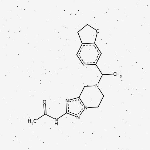 CC(=O)Nc1nc2n(n1)CCN(C(C)c1ccc3c(c1)OCC3)C2